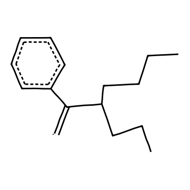 [CH]=C(c1ccccc1)C(CCC)CCCC